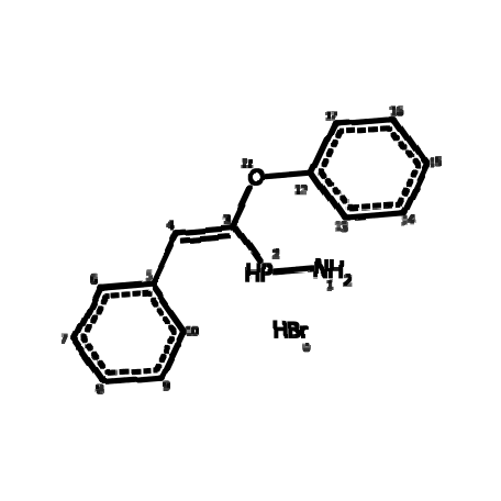 Br.NPC(=Cc1ccccc1)Oc1ccccc1